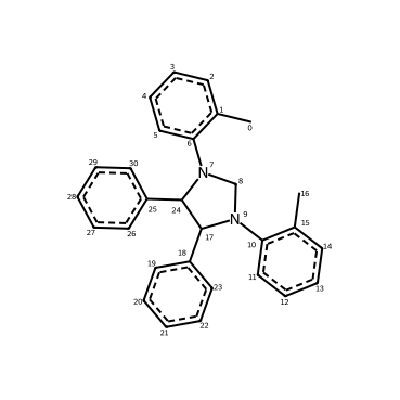 Cc1ccccc1N1CN(c2ccccc2C)C(c2ccccc2)C1c1ccccc1